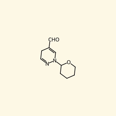 O=CC1=CN(C2CCCCO2)N=CC1